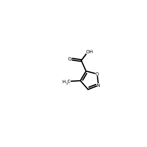 Cc1cnoc1C(=O)O